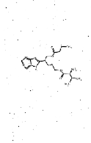 CCCC(=O)OCC(CCCOC(=O)[C@@H](N)C(C)C)c1nc2ncncc2[nH]1